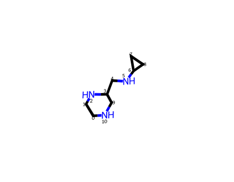 C1CNC(CNC2CC2)CN1